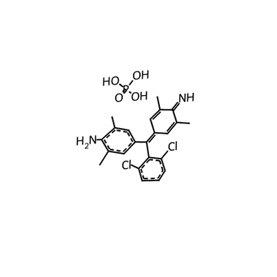 CC1=CC(=C(c2cc(C)c(N)c(C)c2)c2c(Cl)cccc2Cl)C=C(C)C1=N.O=P(O)(O)O